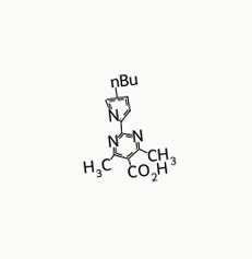 CCCCc1ccc(-c2nc(C)c(C(=O)O)c(C)n2)nc1